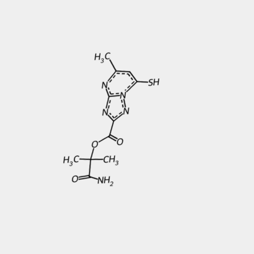 Cc1cc(S)n2nc(C(=O)OC(C)(C)C(N)=O)nc2n1